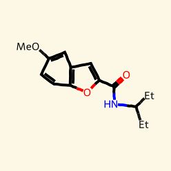 CCC(CC)NC(=O)c1cc2cc(OC)ccc2o1